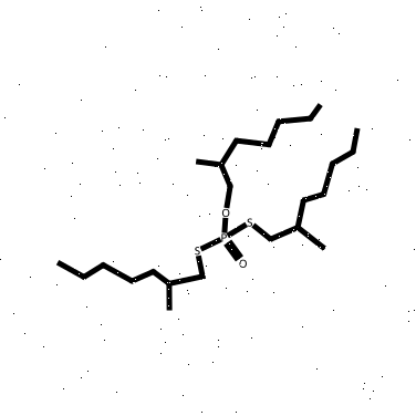 CCCCCC(C)COP(=O)(SCC(C)CCCCC)SCC(C)CCCCC